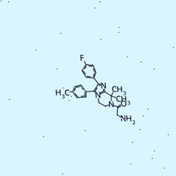 Cc1ccc(-c2c(-c3ccc(F)cc3)nc3n2CCN(C(=O)CN)C3(C)C)cc1